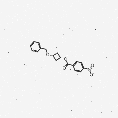 O=C(O[C@H]1C[C@@H](OCc2ccccc2)C1)c1ccc([N+](=O)[O-])cc1